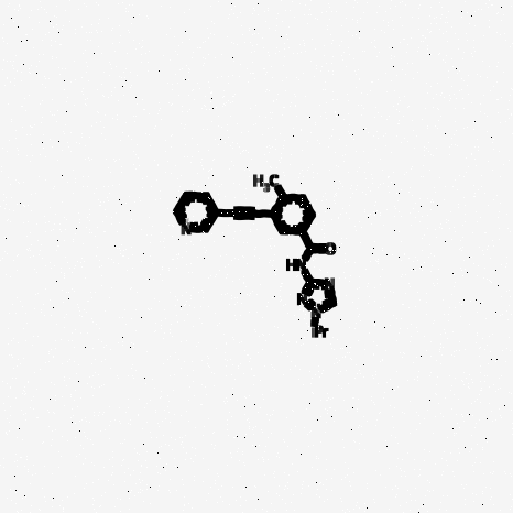 Cc1ccc(C(=O)Nc2ncn(C(C)C)n2)cc1C#Cc1cccnc1